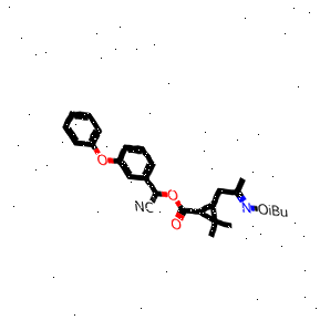 CC(CC1C(C(=O)OC(C#N)c2cccc(Oc3ccccc3)c2)C1(C)C)=NOCC(C)C